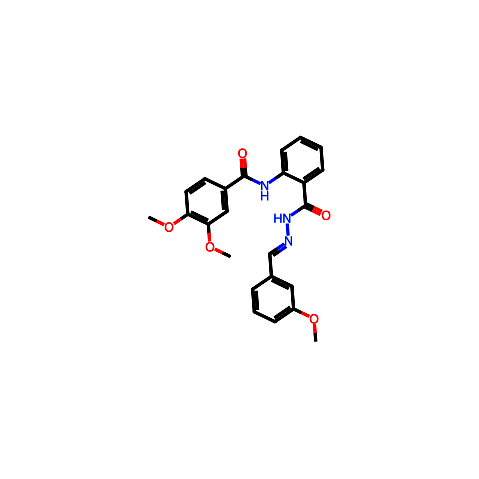 COc1cccc(/C=N/NC(=O)c2ccccc2NC(=O)c2ccc(OC)c(OC)c2)c1